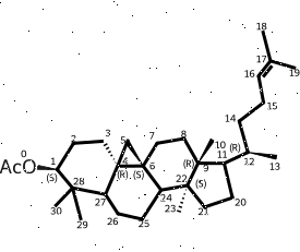 CC(=O)O[C@H]1CC[C@]23C[C@]24CC[C@]2(C)C([C@H](C)CCC=C(C)C)CC[C@@]2(C)C4CCC3C1(C)C